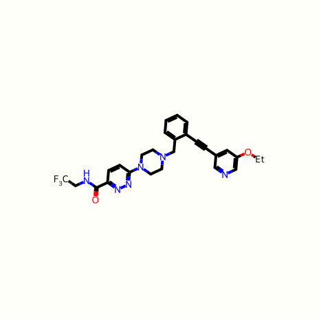 CCOc1cncc(C#Cc2ccccc2CN2CCN(c3ccc(C(=O)NCC(F)(F)F)nn3)CC2)c1